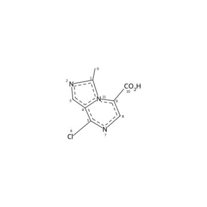 Cc1ncc2c(Cl)ncc(C(=O)O)n12